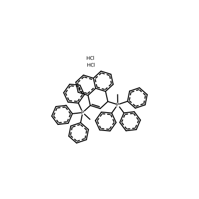 CP(C1=CC(P(C)(c2ccccc2)(c2ccccc2)c2ccccc2)c2cccc3cccc1c23)(c1ccccc1)(c1ccccc1)c1ccccc1.Cl.Cl